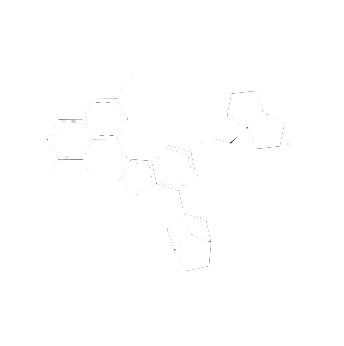 Oc1cc(-n2ccc3c(N4CC5CCC(C4)N5)nc(OC[C@@]45CCCN4C[C@H](F)C5)cc32)c2c(F)c(F)ccc2c1